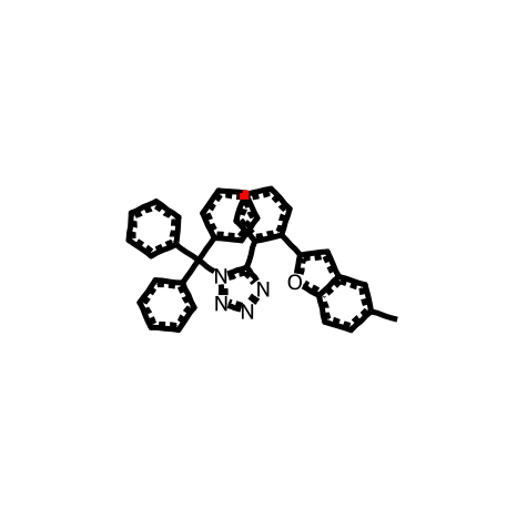 Cc1ccc2oc(-c3ccccc3-c3nnnn3C(c3ccccc3)(c3ccccc3)c3ccccc3)cc2c1